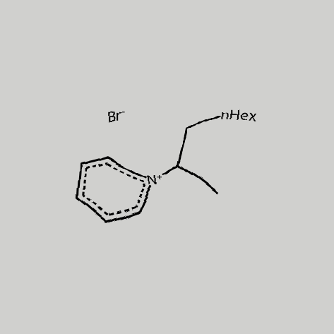 CCCCCCCC(C)[n+]1ccccc1.[Br-]